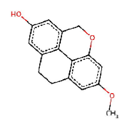 COc1cc2c3c(c1)OCc1cc(O)cc(c1-3)CC2